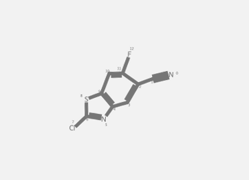 N#Cc1cc2nc(Cl)sc2cc1F